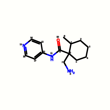 CC1CCCCC1(CN)C(=O)Nc1ccncc1